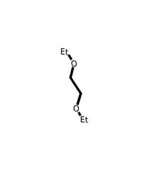 [CH]COCCOCC